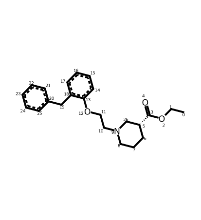 CCOC(=O)[C@@H]1CCCN(CCOc2ccccc2Cc2ccccc2)C1